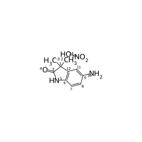 CC1(C)C(=O)Nc2ccc(N)cc21.O=[N+]([O-])O